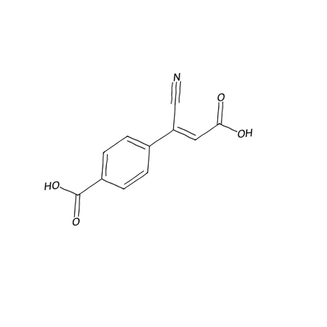 N#CC(=CC(=O)O)c1ccc(C(=O)O)cc1